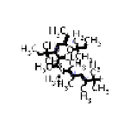 C=CC(C)(C)OC(/C=C(\C(=C)C(=C)N(C)/C(C)=C(C)/C=C(\C)C(C)(C)F)C(C)(C)CC)=C/C